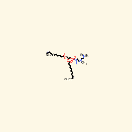 CCCCCCCC/C=C\CCCCCCCC(=O)OCC(COC(=O)NCCN(C)CCN(CC)CC)OC(=O)CCCCCCC/C=C\CCCCCCCC